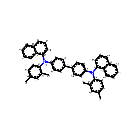 Cc1ccc(N(c2ccc(-c3ccc(N(c4ccc(C)cc4C)c4cccc5ccccc45)cc3)cc2)c2cccc3ccccc23)c(C)c1